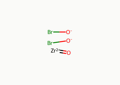 [O-]Br.[O-]Br.[O]=[Zr+2]